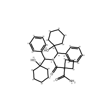 NC(=O)C1(C(=O)N(C(c2ccccc2)C2(O)CCCCC2)C(c2ccccc2)C2(O)CCCCC2)CCC1